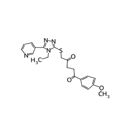 CCn1c(SCC(=O)CCC(=O)c2ccc(OC)cc2)nnc1-c1cccnc1